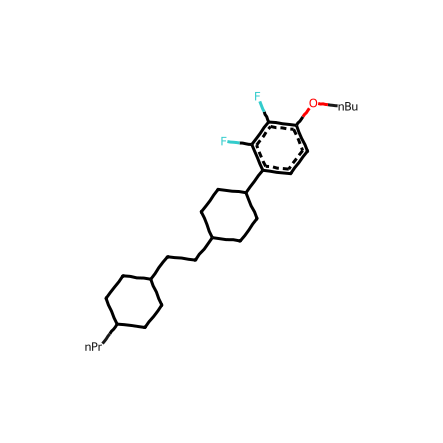 CCCCOc1ccc(C2CCC(CCC3CCC(CCC)CC3)CC2)c(F)c1F